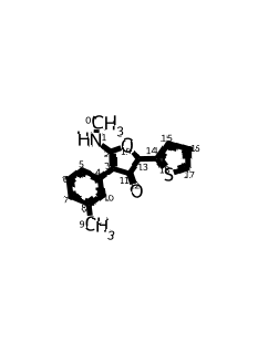 CNC1=C(c2cccc(C)c2)C(=O)C(c2cccs2)O1